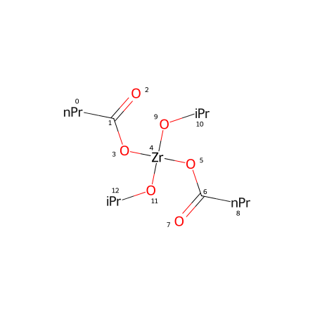 CCCC(=O)[O][Zr]([O]C(=O)CCC)([O]C(C)C)[O]C(C)C